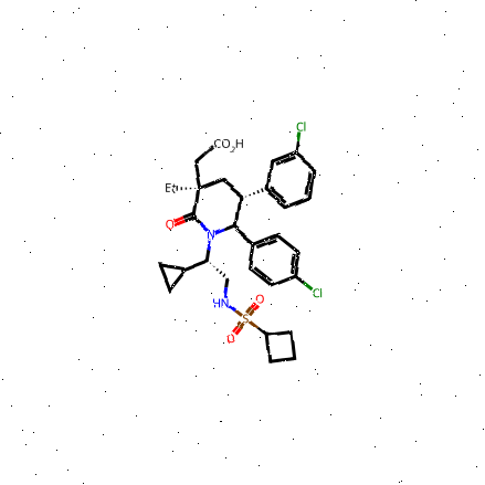 CC[C@]1(CC(=O)O)C[C@H](c2cccc(Cl)c2)C(c2ccc(Cl)cc2)N([C@H](CNS(=O)(=O)C2CCC2)C2CC2)C1=O